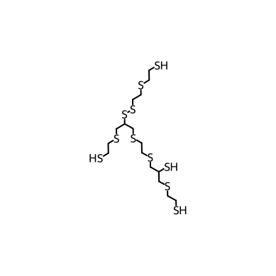 SCCSCCSSC(CSCCS)CSCCSCC(S)CSCCS